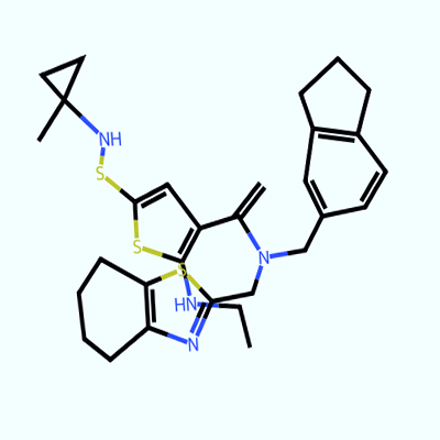 C=C(c1cc(SNC2(C)CC2)sc1NCC)N(Cc1ccc2c(c1)CCC2)Cc1nc2c(s1)CCCC2